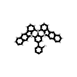 Fc1ccccc1-c1cc2c3c(c1)-n1c4cc5ccccc5cc4c4cccc(c41)B3c1cccc3c4cc5ccccc5cc4n-2c13